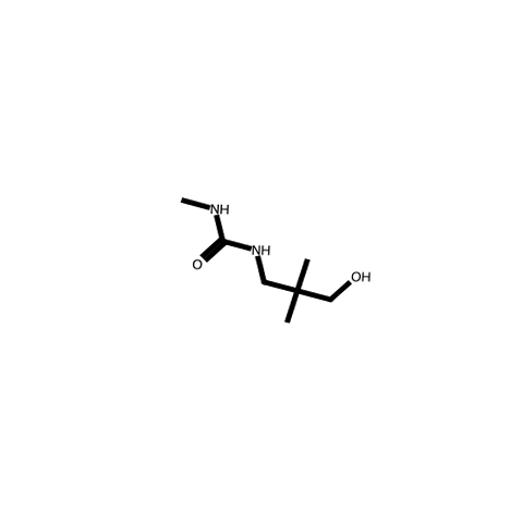 CNC(=O)NCC(C)(C)CO